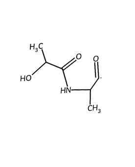 CC([C]=O)NC(=O)C(C)O